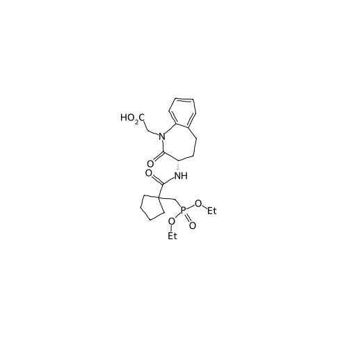 CCOP(=O)(CC1(C(=O)N[C@H]2CCc3ccccc3N(CC(=O)O)C2=O)CCCC1)OCC